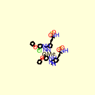 CC(C)(C#Cc1ccc2ncnc(Nc3ccc(Oc4ccccc4)c(Cl)c3)c2c1)NS(C)(=O)=O.COc1cc(Nc2ncnc3ccc(C#CC(C)(C)NS(C)(=O)=O)cc23)ccc1Oc1ccccc1